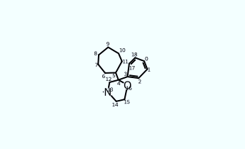 c1ccc(C2(C3CCCCCC3)C[N]CCO2)cc1